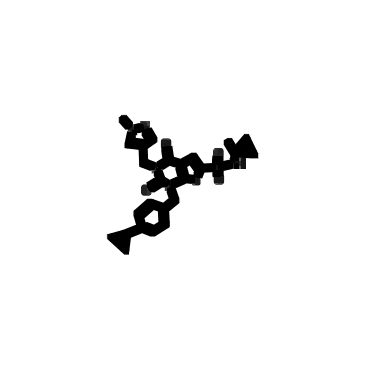 Cn1cc(Cn2c(=O)c3cc(S(=O)(=O)NC4(C)CC4)sc3n(Cc3ccc(C4CC4)cc3)c2=O)cn1